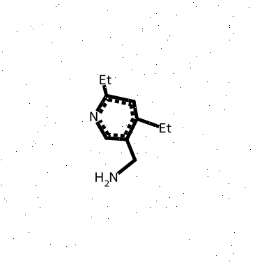 CCc1cc(CC)c(CN)cn1